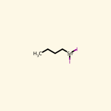 CCC[CH2][Sn]([I])[I]